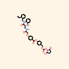 C=Cc1ccccc1CN(C(=O)CCNC(=O)COc1ccc(C(=O)Oc2ccc(COC(=O)ON3C(=O)CCC3=O)cc2)cc1)c1ccccc1CC